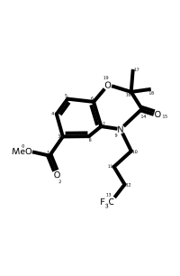 COC(=O)c1ccc2c(c1)N(CCCC(F)(F)F)C(=O)C(C)(C)O2